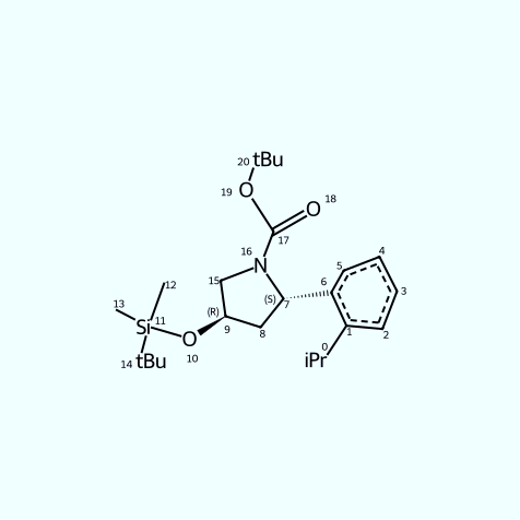 CC(C)c1ccccc1[C@@H]1C[C@@H](O[Si](C)(C)C(C)(C)C)CN1C(=O)OC(C)(C)C